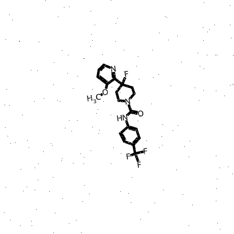 COc1cccnc1C1(F)CCN(C(=O)Nc2ccc(C(F)(F)F)cc2)CC1